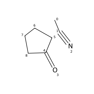 CC#N.O=C1CCCC1